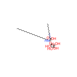 CCCCCCC/C=C/C=C/[C@@H](O)[C@H](CO[C@@H]1O[C@H](CO)[C@@H](O)C(O)C1O)NC(=O)CCCCCCCCCCCCCCCCCCCCCCC